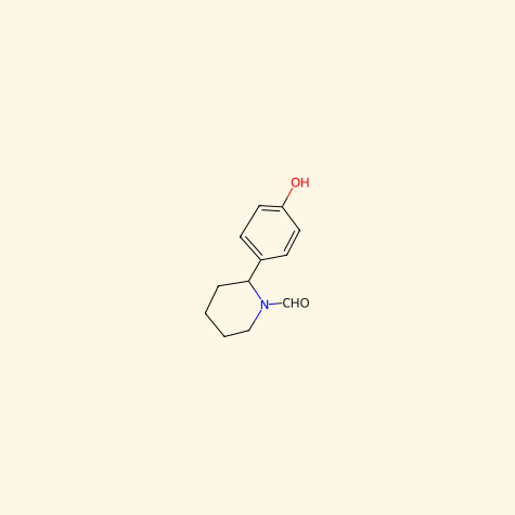 O=CN1CCCCC1c1ccc(O)cc1